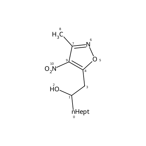 CCCCCCCC(O)Cc1onc(C)c1[N+](=O)[O-]